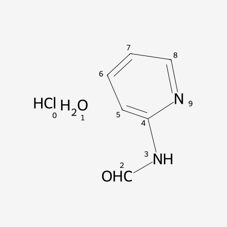 Cl.O.O=CNc1ccccn1